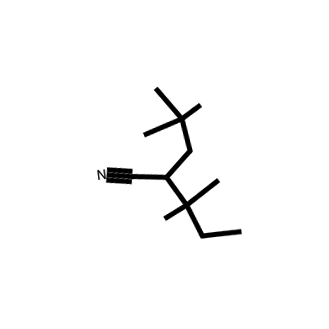 CCC(C)(C)C(C#N)CC(C)(C)C